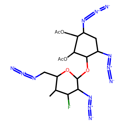 CC(=O)OC1C(N=[N+]=[N-])CC(N=[N+]=[N-])C(OC2OC(CN=[N+]=[N-])C(C)C(F)C2N=[N+]=[N-])C1OC(C)=O